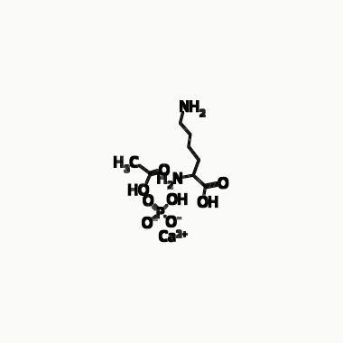 CC(=O)O.NCCCCC(N)C(=O)O.O=P([O-])([O-])O.[Ca+2]